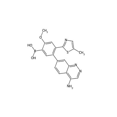 COc1cc(-c2ncc(C)s2)c(-c2ccc3c(N)cnnc3c2)cc1B(O)O